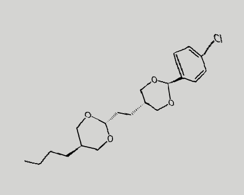 CCCC[C@H]1CO[C@H](CC[C@H]2CO[C@H](c3ccc(Cl)cc3)OC2)OC1